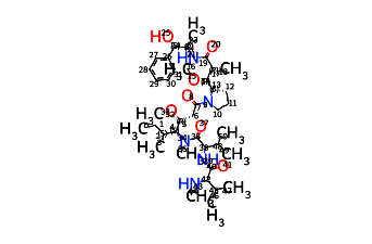 CC[C@H](C)[C@@H]([C@@H](CC(=O)N1CCC[C@H]1[C@H](OC)[C@@H](C)C(=O)N[C@H](C)[C@@H](O)c1ccccc1)OC)N(C)C(=O)C(NC(=O)C(NC)C(C)C)C(C)C